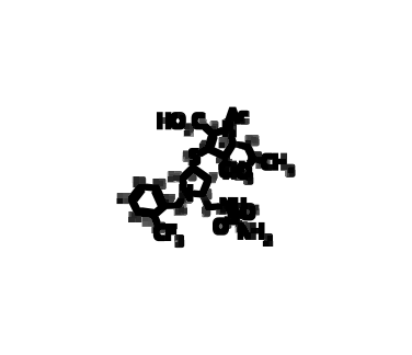 CC(=O)N1C(C(=O)O)=C(S[C@H]2C[C@@H](CNS(N)(=O)=O)N(Cc3ccccc3C(F)(F)F)C2)[C@H](C)[C@@H]1C[C@@H](C)O